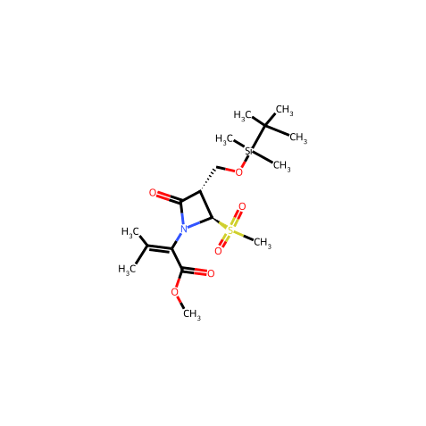 COC(=O)C(=C(C)C)N1C(=O)[C@H](CO[Si](C)(C)C(C)(C)C)[C@H]1S(C)(=O)=O